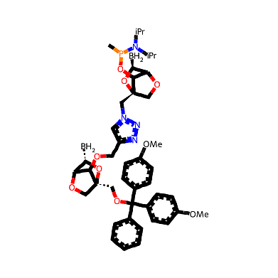 B[C@@H]1O[C@@]2(COC(c3ccccc3)(c3ccc(OC)cc3)c3ccc(OC)cc3)COC1C2OCc1cn(C[C@]23COC(C2OP(C)N(C(C)C)C(C)C)[C@H](B)O3)nn1